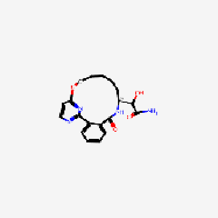 NC(=O)C(O)[C@@H]1CCCCCOc2ccnc(n2)-c2ccccc2C(=O)N1